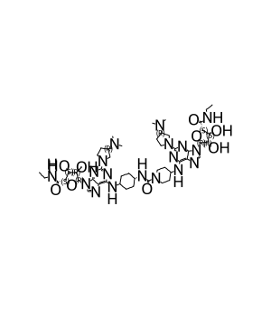 CCNC(=O)[C@H]1O[C@@H](n2cnc3c(NC4CCN(C(=O)N[C@H]5CC[C@H](Nc6nc(N7CC[C@@H](N(C)C)C7)nc7c6ncn7[C@@H]6O[C@H](C(=O)NCC)[C@@H](O)[C@H]6O)CC5)CC4)nc(N4CC[C@@H](N(C)C)C4)nc32)[C@H](O)[C@@H]1O